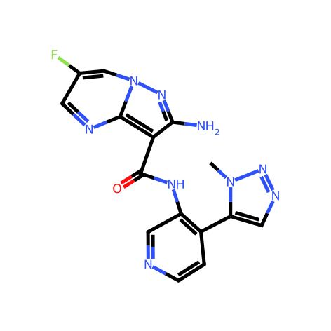 Cn1nncc1-c1ccncc1NC(=O)c1c(N)nn2cc(F)cnc12